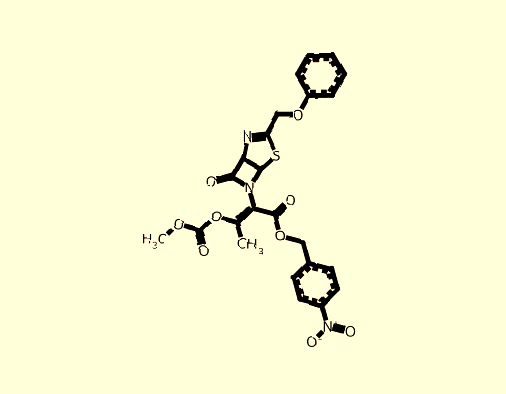 COC(=O)OC(C)=C(C(=O)OCc1ccc([N+](=O)[O-])cc1)N1C(=O)C2N=C(COc3ccccc3)SC21